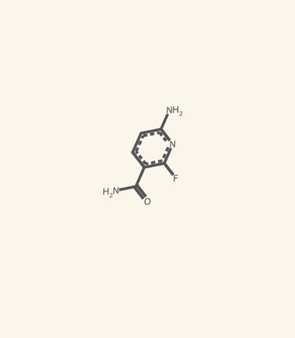 NC(=O)c1ccc(N)nc1F